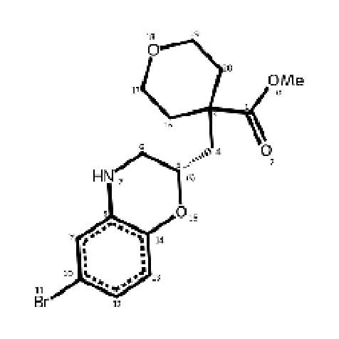 COC(=O)C1(C[C@H]2CNc3cc(Br)ccc3O2)CCOCC1